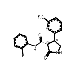 O=C1NC[C@H](c2cccc(C(F)(F)F)n2)[C@H]1C(=O)Nc1ccccc1F